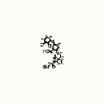 Cc1cc(N2CCC3(CCC[C@H]3NC(=O)OC(C)(C)C)CC2)c(CO)nc1Sc1cccc(Cl)c1Cl